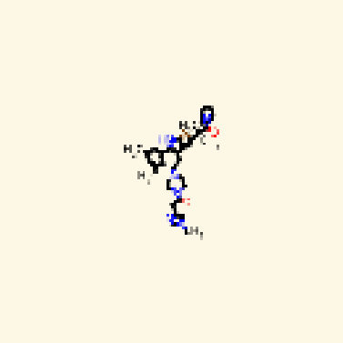 Cc1cc(C)cc(-c2[nH]c3sc(C(C)(C)C(=O)N4C5CCC4CC5)cc3c2CCN2CCN(C(=O)Cc3cn(C)cn3)CC2)c1